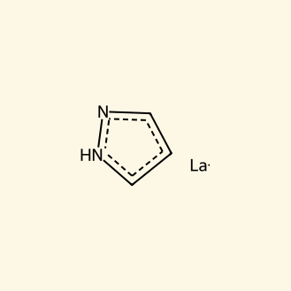 [La].c1cn[nH]c1